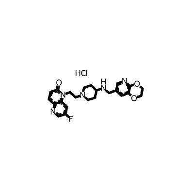 Cl.O=c1ccc2ncc(F)cc2n1CCN1CCC(NCc2cnc3c(c2)OCCO3)CC1